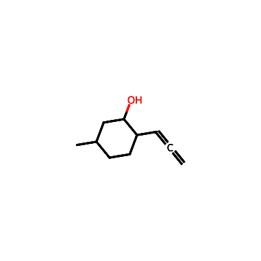 C=C=CC1CCC(C)CC1O